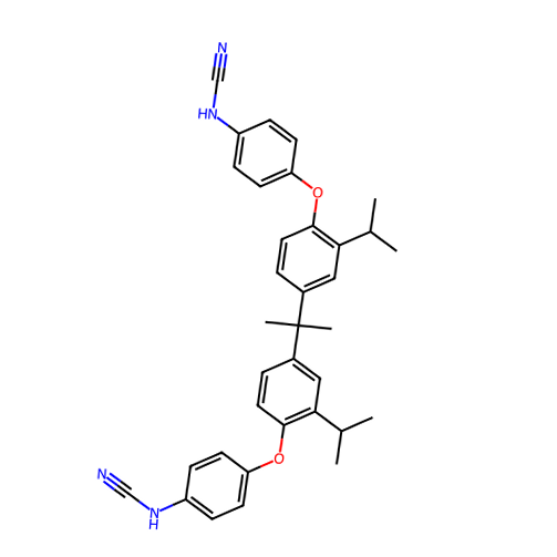 CC(C)c1cc(C(C)(C)c2ccc(Oc3ccc(NC#N)cc3)c(C(C)C)c2)ccc1Oc1ccc(NC#N)cc1